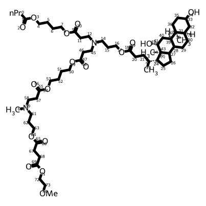 CCCC(=O)OCCCCOC(=O)CCN(CCCOC(=O)CCC(C)[C@H]1CCC2C3CC[C@@H]4CC(O)CC[C@]4(C)[C@@H]3C[C@@H](O)[C@@]21C)CCC(=O)OCCCCOC(=O)CCN(C)CCCOC(=O)CCC(=O)OCCOC